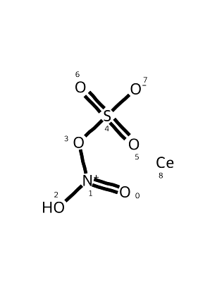 O=[N+](O)OS(=O)(=O)[O-].[Ce]